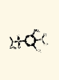 CCCN(CC)c1c([N+](=O)[O-])cc(S(=O)(=O)N(C)SC)cc1[N+](=O)[O-]